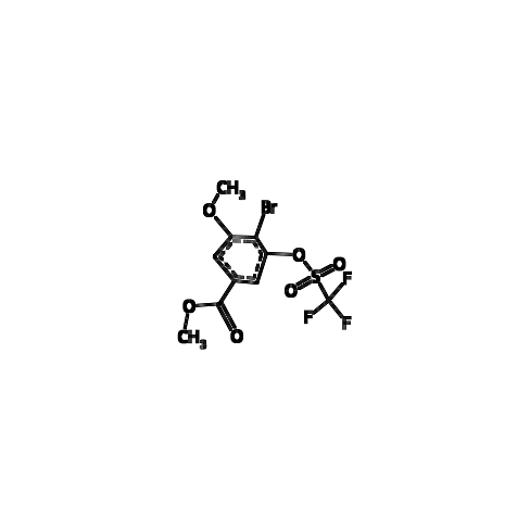 COC(=O)c1cc(OC)c(Br)c(OS(=O)(=O)C(F)(F)F)c1